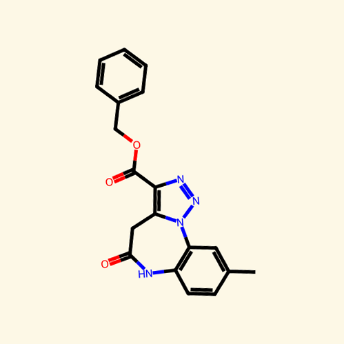 Cc1ccc2c(c1)-n1nnc(C(=O)OCc3ccccc3)c1CC(=O)N2